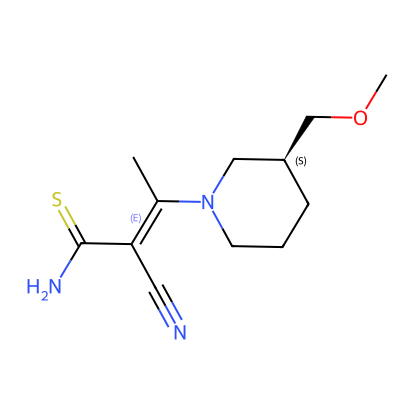 COC[C@H]1CCCN(/C(C)=C(\C#N)C(N)=S)C1